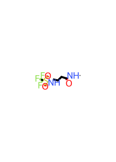 [NH]C(=O)CCCNS(=O)(=O)C(F)(F)F